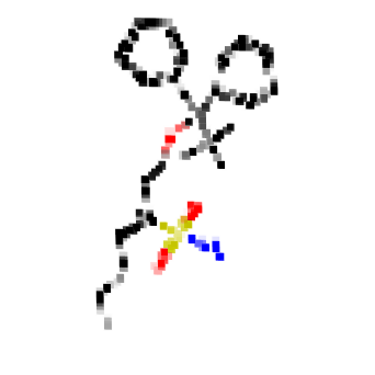 C=CCC[C@@H](CCO[Si](c1ccccc1)(c1ccccc1)C(C)(C)C)S(N)(=O)=O